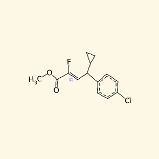 COC(=O)/C(F)=C/C(c1ccc(Cl)cc1)C1CC1